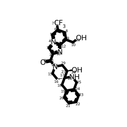 O=C(c1cn2cc(C(F)(F)F)cc(CO)c2n1)N1CC[C@]2(Cc3ccccc3CN2)[C@H](O)C1